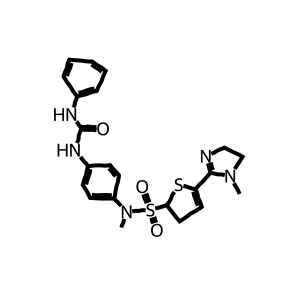 CN1CCN=C1C1=CCC(S(=O)(=O)N(C)c2ccc(NC(=O)Nc3ccccc3)cc2)S1